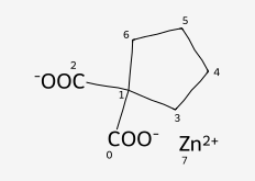 O=C([O-])C1(C(=O)[O-])CCCC1.[Zn+2]